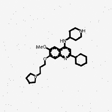 COc1cc2c(NC3CCNCC3)cc(C3CCCCC3)nc2cc1OCCCN1CCCC1